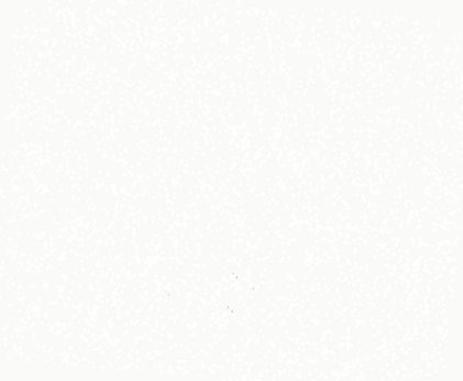 O=c1[nH]c(-c2c[nH]c3cc(F)c(-c4ccc(COCCOCCO)cc4)cc23)no1